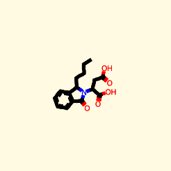 CCCCC1c2ccccc2C(=O)N1C(CC(=O)O)C(=O)O